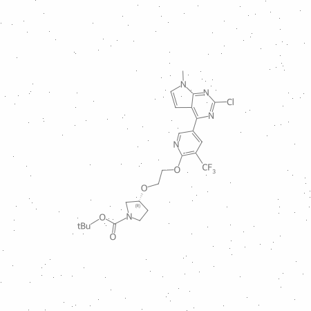 Cn1ccc2c(-c3cnc(OCCO[C@@H]4CCN(C(=O)OC(C)(C)C)C4)c(C(F)(F)F)c3)nc(Cl)nc21